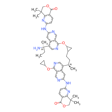 CC[C@@](C)(N)c1cnc(OC2CC2CC[C@@H](C)c2cnc(OC3CC3)c3cnc(Nc4ccc5c(n4)C(C)(C)COC5=O)cc23)c2cnc(Nc3ccc4c(n3)C(C)(C)COC4=O)cc12